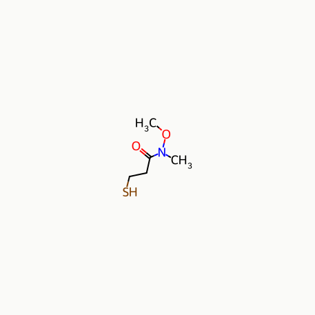 CON(C)C(=O)CCS